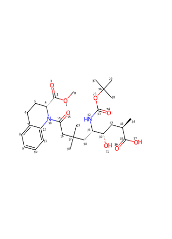 COC(=O)[C@H]1CCc2ccccc2N1C(=O)CC(C)(C)C[C@H](NC(=O)OC(C)(C)C)[C@@H](O)C[C@@H](C)C(=O)O